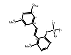 CC[Si](CC)(CC)Oc1cccc(OC)c1C=Cc1cc(OC)cc(OC)c1